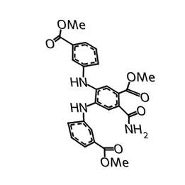 COC(=O)c1cccc(Nc2cc(C(N)=O)c(C(=O)OC)cc2Nc2cccc(C(=O)OC)c2)c1